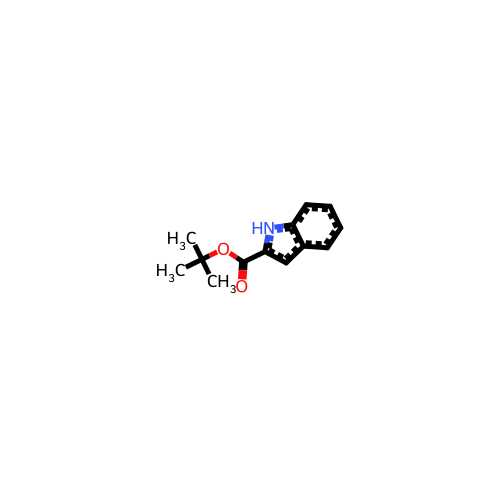 CC(C)(C)OC(=O)c1cc2ccccc2[nH]1